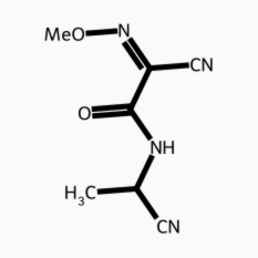 CON=C(C#N)C(=O)NC(C)C#N